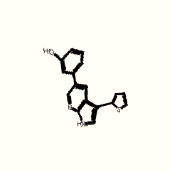 Oc1cccc(-c2cnc3[nH]cc(-c4cccs4)c3c2)c1